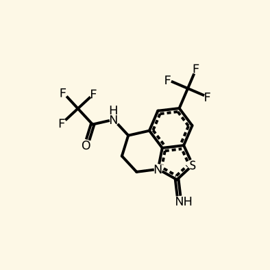 N=c1sc2cc(C(F)(F)F)cc3c2n1CCC3NC(=O)C(F)(F)F